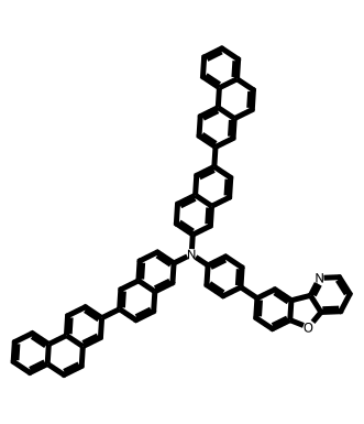 c1ccc2c(c1)ccc1cc(-c3ccc4cc(N(c5ccc(-c6ccc7oc8cccnc8c7c6)cc5)c5ccc6cc(-c7ccc8c(ccc9ccccc98)c7)ccc6c5)ccc4c3)ccc12